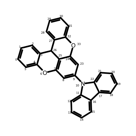 c1ccc2c(c1)Oc1cc(-n3c4ccccc4c4ccccc43)cc3c1C2c1ccccc1O3